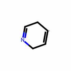 [C]1=CCN=CC1